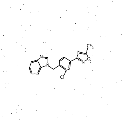 FC(F)(F)c1nc(-c2ccc(Cn3cnc4ccccc43)c(Cl)c2)no1